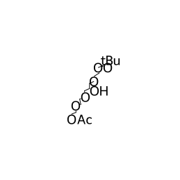 CC(=O)OCCOCCOCC(O)COCCOC(=O)C(C)(C)C